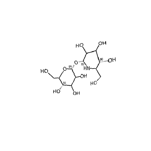 OCC1N[C@H](O[C@H]2OC(CO)[C@@H](O)C(O)C2O)C(O)C(O)[C@@H]1O